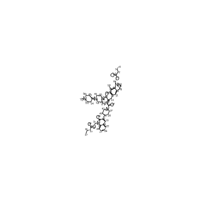 CCCC(=O)OCn1ncc2cc(C[C@@H](NC(=O)N3CCC(c4cc5ccccc5n(COC(=O)CCC)c4=O)CC3)C(=O)N3CCN(C4CCN(C)CC4)CC3)cc(C)c21